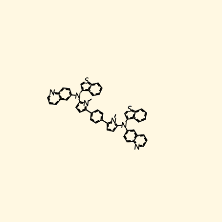 Cn1c(-c2ccc(-c3ccc(N(c4ccc5ncccc5c4)c4csc5ccccc45)n3C)cc2)ccc1N(c1ccc2ncccc2c1)c1csc2ccccc12